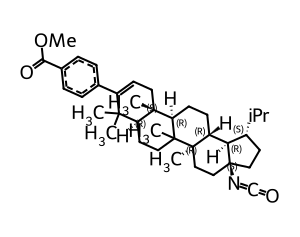 COC(=O)c1ccc(C2=CC[C@@]3(C)[C@@H](CCC4(C)[C@@H]3CC[C@@H]3[C@H]5[C@H](C(C)C)CC[C@]5(N=C=O)CC[C@]34C)C2(C)C)cc1